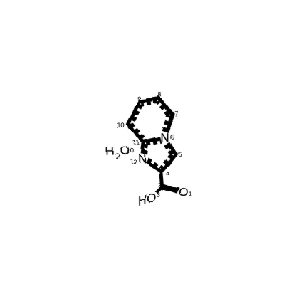 O.O=C(O)c1cn2ccccc2n1